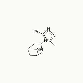 Cc1nnc(C(C)C)n1C1CC2CC(C1)N2